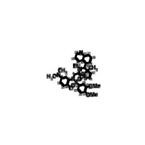 CCN(C(=O)CN(c1cc(N(C)C)ccc1Cl)S(=O)(=O)c1ccc(OC)c(OC)c1)C(c1cccc2ncccc12)C1(C)C=CSN1